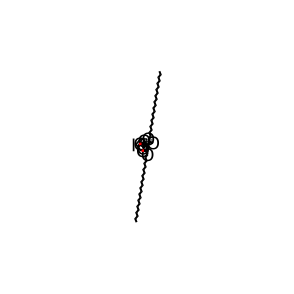 CCCCCCCCCCCCCCCCCCCCCCOC(=O)CC(C(=O)OCCCCCCCCCCCCCCCCCCCCCC)S(=O)(=O)[O-].[K+]